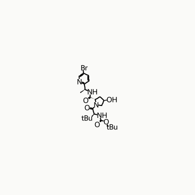 C[C@H](NC(=O)[C@@H]1C[C@@H](O)CN1C(=O)[C@@H](NC(=O)OC(C)(C)C)C(C)(C)C)c1ccc(Br)cn1